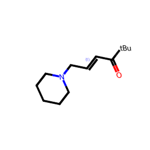 CC(C)(C)C(=O)/C=C/CN1CCCCC1